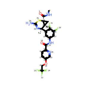 CNC(=O)[C@]12C[C@H]1[C@@](C)(c1cc(NC(=O)c3ccc(OCC(F)(F)F)cn3)cc(F)c1F)N=C(N)S2